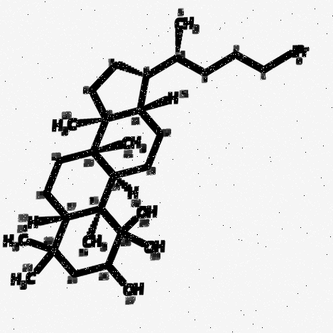 CC(C)CCC[C@@H](C)[C@H]1CC[C@@]2(C)[C@H]1CC[C@H]1[C@]3(C)[C@@H](CC[C@@]12C)C(C)(C)CC(O)C3(O)O